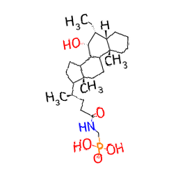 CC[C@H]1[C@@H](O)C2C3CCC([C@H](C)CCC(=O)NCP(=O)(O)O)[C@@]3(C)CCC2[C@@]2(C)CCCC[C@@H]12